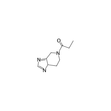 CCC(=O)N1CCC2N=CN=C2C1